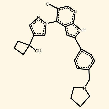 OC1(c2cnn(-c3c(Cl)cnc4[nH]c(-c5ccc(CN6CCCC6)cc5)cc34)c2)CCC1